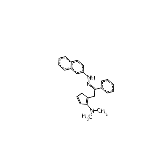 CN(C)C1=C(CC(=NNc2ccc3ccccc3c2)c2ccccc2)CC=C1